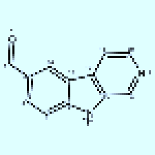 O=Cc1ccc2[nH]c3cnccc3c2c1